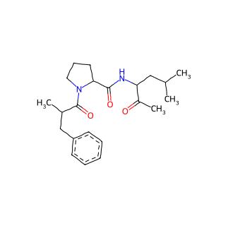 CC(=O)C(CC(C)C)NC(=O)C1CCCN1C(=O)C(C)Cc1ccccc1